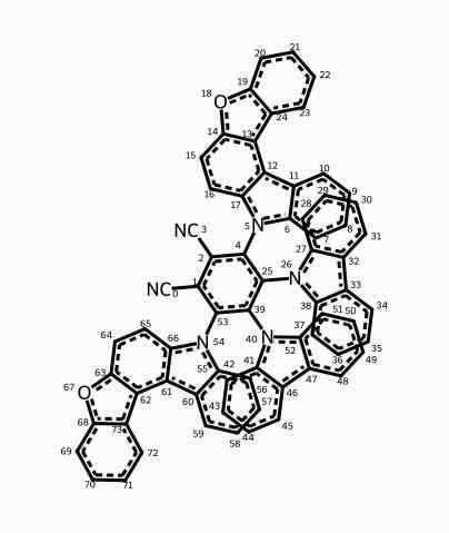 N#Cc1c(C#N)c(-n2c3ccccc3c3c4c(ccc32)oc2ccccc24)c(-n2c3ccccc3c3ccccc32)c(-n2c3ccccc3c3ccccc32)c1-n1c2ccccc2c2c3c(ccc21)oc1ccccc13